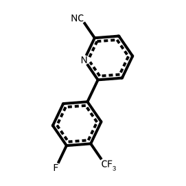 N#Cc1cccc(-c2ccc(F)c(C(F)(F)F)c2)n1